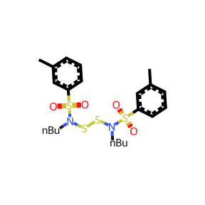 CCCCN(SSN(CCCC)S(=O)(=O)c1cccc(C)c1)S(=O)(=O)c1cccc(C)c1